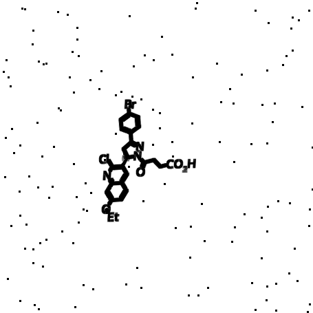 CCOc1ccc2cc([C@H]3CC(c4ccc(Br)cc4)=NN3C(=O)CCC(=O)O)c(Cl)nc2c1